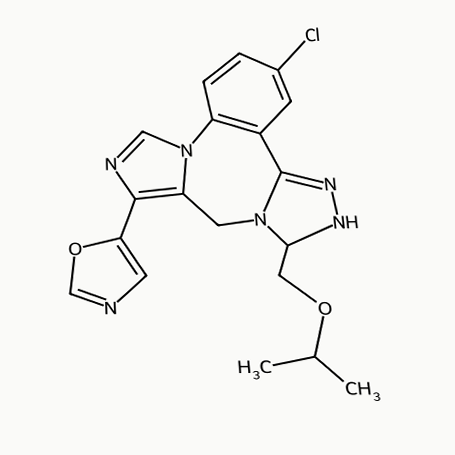 CC(C)OCC1NN=C2c3cc(Cl)ccc3-n3cnc(-c4cnco4)c3CN21